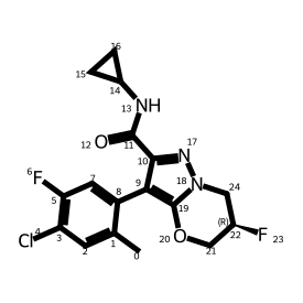 Cc1cc(Cl)c(F)cc1-c1c(C(=O)NC2CC2)nn2c1OC[C@H](F)C2